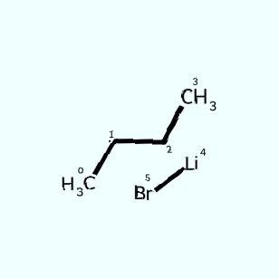 C[CH]CC.[Li][Br]